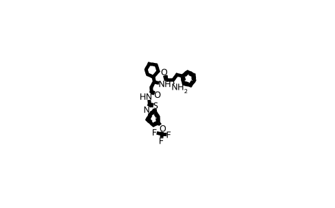 N[C@@H](Cc1ccccc1)C(=O)NC(CC(=O)Nc1nc2ccc(OC(F)(F)F)cc2s1)C1CCCCC1